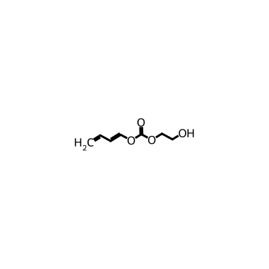 C=CC=COC(=O)OCCO